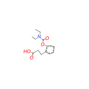 CCN(CC)C(=O)Oc1ccccc1CCC(=O)O